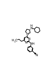 CCCc1cc(N2CC[C@H](NC3CCCCC3)C2)nc(Nc2cccc(C#N)c2)n1